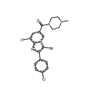 CN1CCN(C(=O)c2cc(Cl)c3nc(-c4ccc(Cl)cc4)c(Br)n3c2)CC1